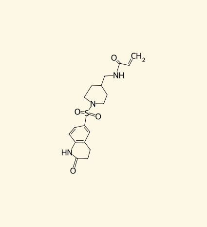 C=CC(=O)NCC1CCN(S(=O)(=O)c2ccc3c(c2)CCC(=O)N3)CC1